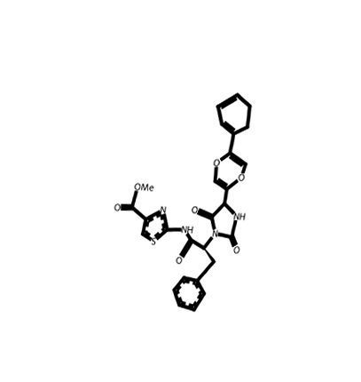 COC(=O)c1csc(NC(=O)[C@H](Cc2ccccc2)N2C(=O)NC(C3=COC(C4=CC=CCC4)=CO3)C2=O)n1